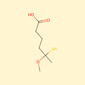 COC(C)(S)CCCC(=O)O